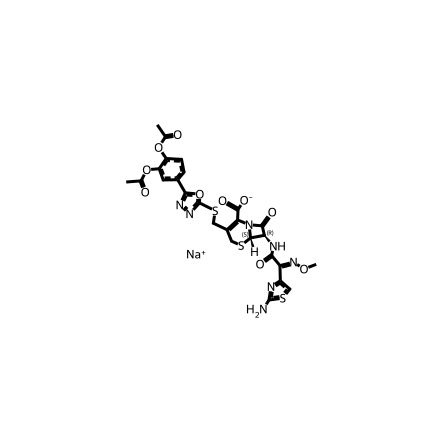 CON=C(C(=O)N[C@@H]1C(=O)N2C(C(=O)[O-])=C(CSc3nnc(-c4ccc(OC(C)=O)c(OC(C)=O)c4)o3)CS[C@@H]12)c1csc(N)n1.[Na+]